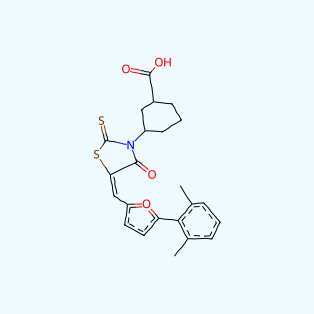 Cc1cccc(C)c1-c1ccc(C=C2SC(=S)N(C3CCCC(C(=O)O)C3)C2=O)o1